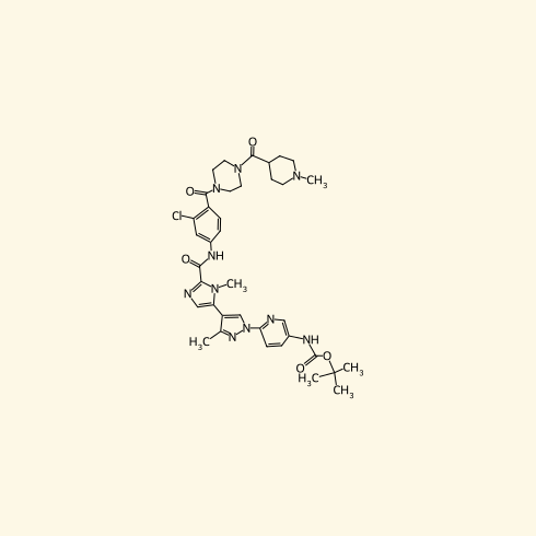 Cc1nn(-c2ccc(NC(=O)OC(C)(C)C)cn2)cc1-c1cnc(C(=O)Nc2ccc(C(=O)N3CCN(C(=O)C4CCN(C)CC4)CC3)c(Cl)c2)n1C